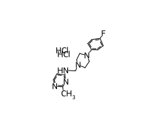 Cc1nccc(NCN2CCN(c3ccc(F)cc3)CC2)n1.Cl.Cl